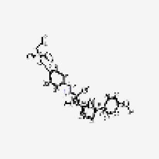 CCCS(=O)(=O)Cc1ccc(/C=C/C(=O)Nc2nc(-c3ccc(OC)cc3)cs2)cc1